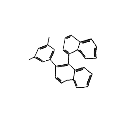 FC(F)(F)c1cc(-c2ccc3ccccc3c2-c2cccc3ccccc23)cc(C(F)(F)F)c1